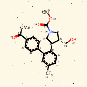 COC(=O)c1ccc(-c2cc(C(F)(F)F)ccc2[C@H]2CN(C(=O)OC(C)(C)C)C[C@@H]2CO)cc1